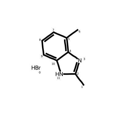 Br.Cc1nc2c(C)cccc2[nH]1